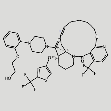 O=C1c2c(C(F)(F)F)ccnc2OCCCC/C=C\C[C@H]2N1CCC[C@@]2(Oc1csc(C(F)(F)F)c1)C(=O)N1CCN(c2ccccc2OCCO)CC1